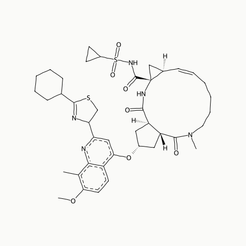 COc1ccc2c(O[C@@H]3C[C@H]4C(=O)N[C@]5(C(=O)NS(=O)(=O)C6CC6)C[C@H]5/C=C\CCCCN(C)C(=O)[C@@H]4C3)cc(C3CSC(C4CCCCC4)=N3)nc2c1C